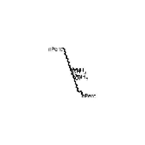 CCCCC/C=C\C/C=C/CCCCCCCCN(CCCN(CCCCCCCC/C=C\C/C=C/CCCCC)CC(O)CN)CC(O)CN